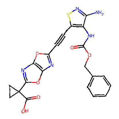 Nc1nsc(C#Cc2nc3oc(C4(C(=O)O)CC4)nc3o2)c1NC(=O)OCc1ccccc1